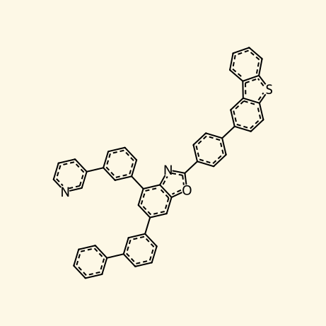 c1ccc(-c2cccc(-c3cc(-c4cccc(-c5cccnc5)c4)c4nc(-c5ccc(-c6ccc7sc8ccccc8c7c6)cc5)oc4c3)c2)cc1